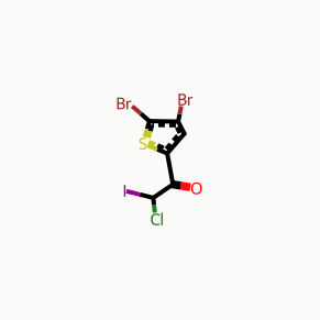 O=C(c1cc(Br)c(Br)s1)C(Cl)I